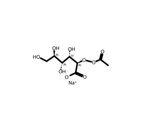 CC(=O)OO[C@@H](C(=O)[O-])[C@@H](O)[C@H](O)[C@H](O)CO.[Na+]